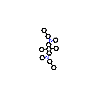 C1=CC(c2ccccc2)CC=C1N(c1ccccc1)c1ccc2c(-c3ccccc3)c3cc(N(c4ccccc4)c4ccc(-c5ccccc5)cc4)ccc3c(-c3ccccc3)c2c1